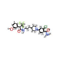 COc1cccc(C(C(=O)N(C)CCCC2CCN(c3ccc(C(=O)N(C)C)c(Cl)c3)CC2)C(F)(F)F)c1